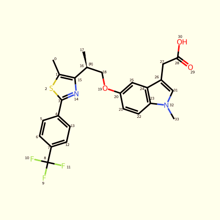 Cc1sc(-c2ccc(C(F)(F)F)cc2)nc1[C@@H](C)COc1ccc2c(c1)c(CC(=O)O)cn2C